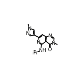 CC(C)Nc1nc(-c2cnn(C)c2)cc2ncn(C)c(=O)c12